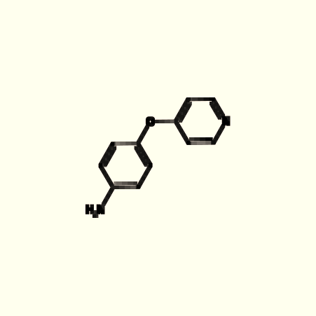 Nc1ccc(Oc2ccncc2)cc1